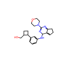 OCC1CCC1c1cccc(NC2N=C(N3CCOCC3)N=C3CCC=C32)c1